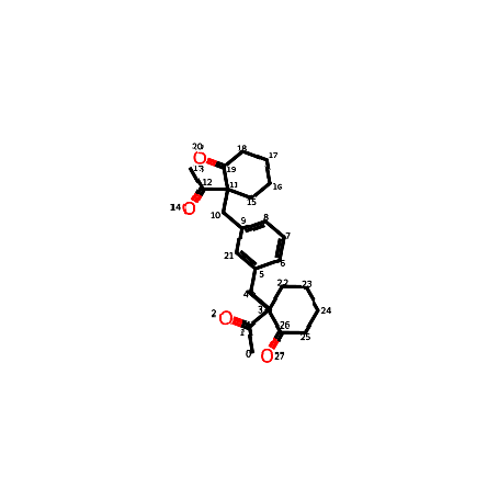 CC(=O)C1(Cc2cccc(CC3(C(C)=O)CCCCC3=O)c2)CCCCC1=O